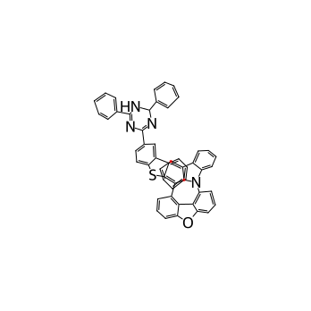 c1ccc(C2=NC(c3ccc4sc5c(-c6cccc7oc8cccc(-n9c%10ccccc%10c%10ccccc%109)c8c67)cccc5c4c3)=NC(c3ccccc3)N2)cc1